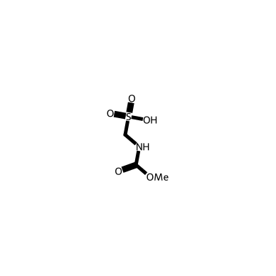 COC(=O)NCS(=O)(=O)O